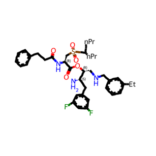 CCCC(CCC)S(=O)(=O)C[C@H](NC(=O)CCc1ccccc1)C(=O)O[C@H](CNCc1cccc(CC)c1)[C@@H](N)Cc1cc(F)cc(F)c1